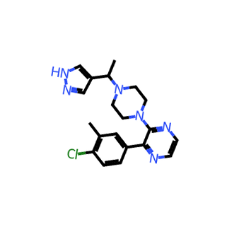 Cc1cc(-c2nccnc2N2CCN(C(C)c3cn[nH]c3)CC2)ccc1Cl